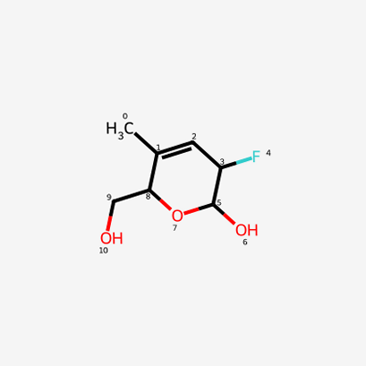 CC1=CC(F)C(O)OC1CO